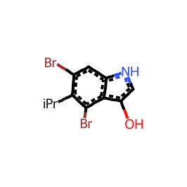 CC(C)c1c(Br)cc2[nH]cc(O)c2c1Br